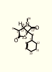 CC1C(=O)SC2(CC3C=CCCC3)C(=O)N(C)[C@@H]12